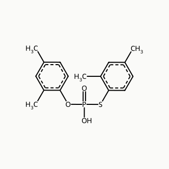 Cc1ccc(OP(=O)(O)Sc2ccc(C)cc2C)c(C)c1